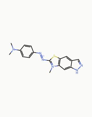 CN(C)c1ccc(/N=N/c2sc3cc4cn[nH]c4cc3[n+]2C)cc1